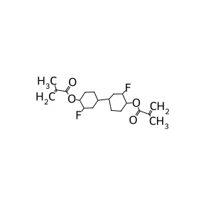 C=C(C)C(=O)OC1CCC(C2CCC(OC(=O)C(=C)C)C(F)C2)CC1F